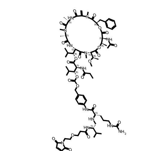 C=C1C(=O)N[C@@H](C)C(=O)N(C)[C@@H](C)C(=O)N[C@@H]([C@H](OC(=O)[C@@H](NC(=O)CC)[C@H](OC(=O)OCc2ccc(NC(=O)[C@H](CCCNC(N)=O)NC[C@@H](NC(=O)CCOCCN3C(=O)C=CC3=O)C(C)C)cc2)C(C)C)C(C)C)C(=O)N(C)[C@@H]([C@@H](C)OC)C(=O)O[C@H](C)[C@H](NC(C)=O)C(=O)O[C@H](Cc2ccccc2)C(=O)N1C